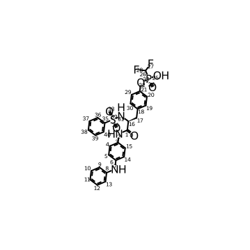 O=C(Nc1ccc(Nc2ccccc2)cc1)[C@H](Cc1ccc(OP(=O)(O)C(F)F)cc1)NS(=O)(=O)c1ccccc1